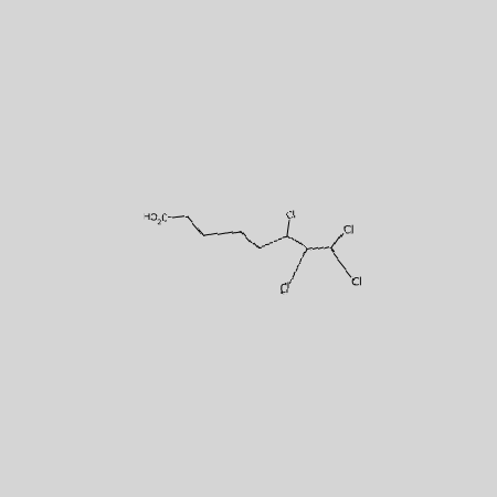 O=C(O)CCCCC(Cl)C(Cl)C(Cl)Cl